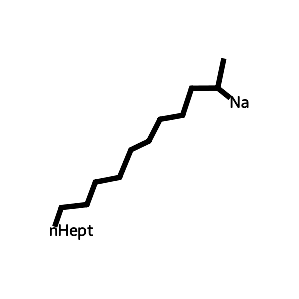 CCCCCCCCCCCCCCCC[CH](C)[Na]